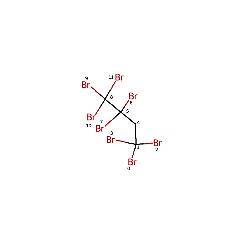 BrC(Br)(Br)CC(Br)(Br)C(Br)(Br)Br